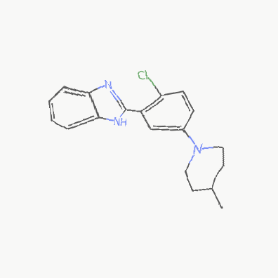 CC1CCN(c2ccc(Cl)c(-c3nc4ccccc4[nH]3)c2)CC1